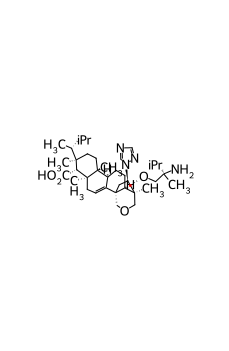 CC(C)[C@@H](C)[C@@]1(C)CC[C@]2(C)[C@H]3CC[C@@H]4[C@@]5(COC[C@]4(C)[C@@H](OC[C@](C)(N)C(C)C)[C@H](n4cncn4)C5)C3=CC[C@@]2(C)[C@@H]1C(=O)O